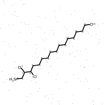 [SiH3]CC(Cl)C(Cl)CCCCCCCCCCCCCCl